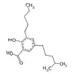 CCCCCc1cc(CCCC(C)C)cc(C(=O)O)c1O